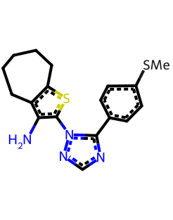 CSc1ccc(-c2ncnn2-c2sc3c(c2N)CCCCC3)cc1